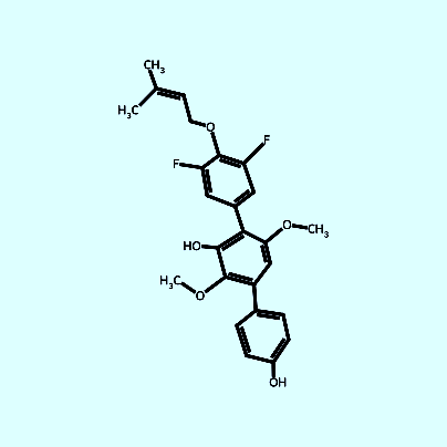 COc1cc(-c2ccc(O)cc2)c(OC)c(O)c1-c1cc(F)c(OCC=C(C)C)c(F)c1